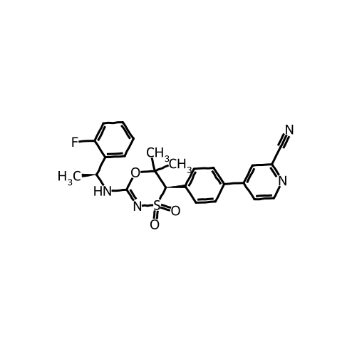 C[C@H](NC1=NS(=O)(=O)[C@H](c2ccc(-c3ccnc(C#N)c3)cc2)C(C)(C)O1)c1ccccc1F